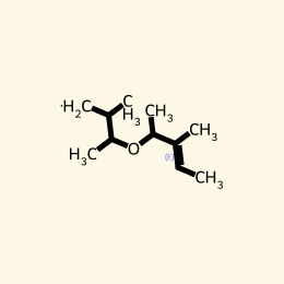 [CH2]C(C)C(C)OC(C)/C(C)=C/C